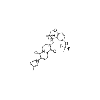 Cc1cn(-c2ccc3n(c2=O)CCN(C[C@@]24C[C@@H]2COc2ccc(OC(C)(F)F)cc24)C3=O)cn1